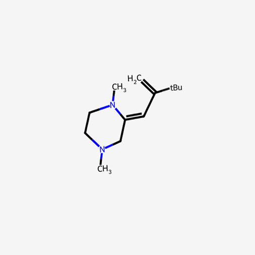 C=C(/C=C1/CN(C)CCN1C)C(C)(C)C